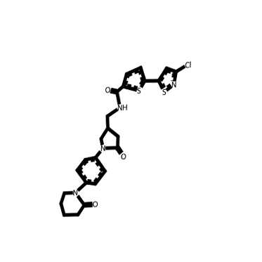 O=C(NCC1CC(=O)N(c2ccc(N3CCCCC3=O)cc2)C1)c1ccc(-c2cc(Cl)ns2)s1